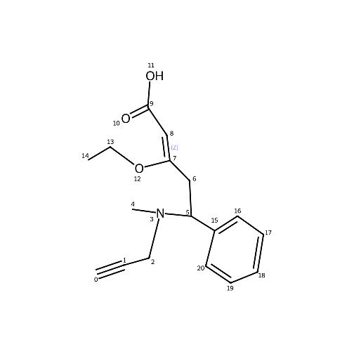 C#CCN(C)C(C/C(=C/C(=O)O)OCC)c1ccccc1